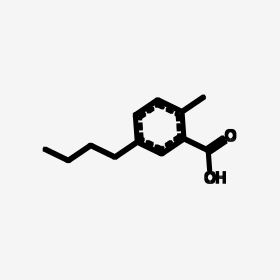 CCCCc1ccc(C)c(C(=O)O)c1